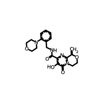 C=C1OCCn2c1nc(C(=O)NCc1ccccc1N1CCOCC1)c(O)c2=O